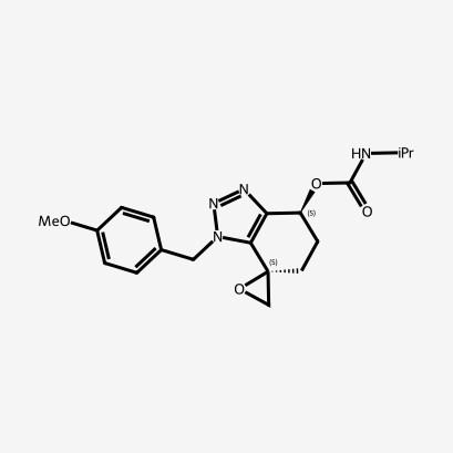 COc1ccc(Cn2nnc3c2[C@@]2(CC[C@@H]3OC(=O)NC(C)C)CO2)cc1